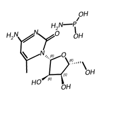 Cc1cc(N)nc(=O)n1[C@@H]1O[C@H](CO)[C@@H](O)[C@H]1O.NP(O)O